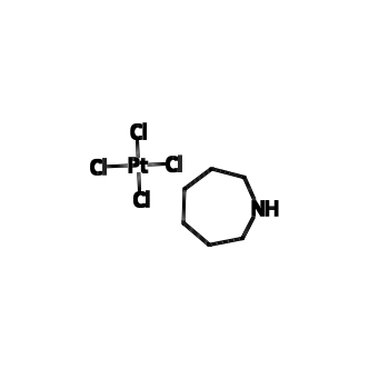 C1CCCNCC1.[Cl][Pt]([Cl])([Cl])[Cl]